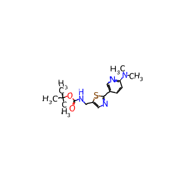 CN(C)c1ccc(-c2ncc(CNC(=O)OC(C)(C)C)s2)cn1